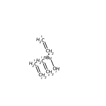 C=C.C=C.C=C.CCCCO